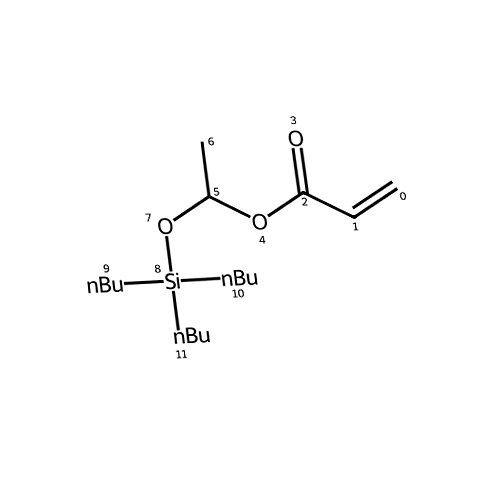 C=CC(=O)OC(C)O[Si](CCCC)(CCCC)CCCC